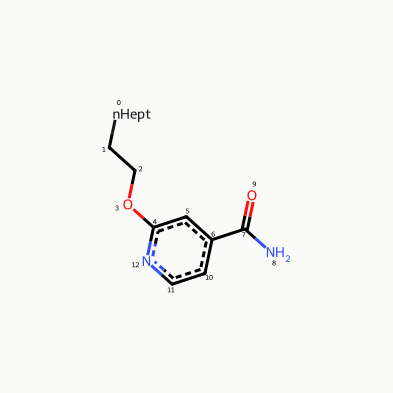 CCCCCCCCCOc1cc(C(N)=O)ccn1